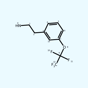 [NH]CCc1cccc(OC(F)(F)C(F)(F)F)c1